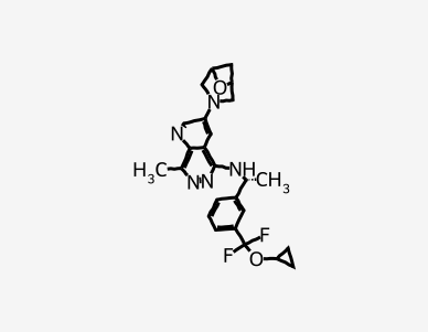 Cc1nnc(N[C@H](C)c2cccc(C(F)(F)OC3CC3)c2)c2cc(N3CC4CC(C3)O4)cnc12